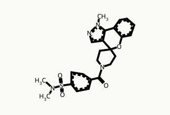 CN(C)S(=O)(=O)c1ccc(C(=O)N2CCC3(CC2)Oc2ccccc2-c2c3cnn2C)cc1